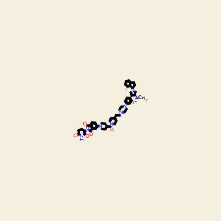 CN(C)[C@H]1CN(C2CCc3cccc(F)c32)C[C@@H]1c1ccc(N2CCN(CCC3CCN(C(=O)C4CCN(c5ccc6c(c5)C(=O)N(C5CCC(=O)NC5=O)C6=O)CC4)CC3)CC2)cc1